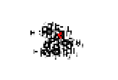 Cc1cc2c3c(c1)N(c1ccc4c(c1)C(C)(C)CCC4(C)C)c1oc4ccc(C(C)(C)C)cc4c1B3c1cc3c(cc1N2c1cc2c(cc1-c1ccc(C(C)(C)C)cc1)C(C)(C)CCC2(C)C)C(C)(C)CCC3(C)C